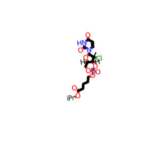 CC(C)OC(=O)CCCCO[P@@]1(=O)OC[C@H]2O[C@@H](n3ccc(=O)[nH]c3=O)[C@](C)(Cl)[C@@H]2O1